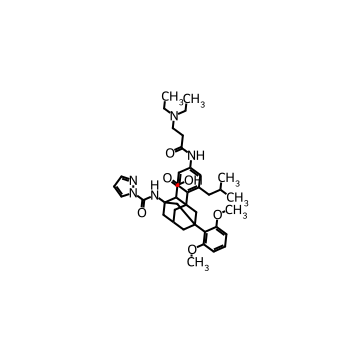 CCN(CC)CCC(=O)Nc1ccc(C23CC4CC(c5c(OC)cccc5OC)(CC(NC(=O)n5cccn5)(C4)C2C(=O)O)C3)c(CC(C)C)c1